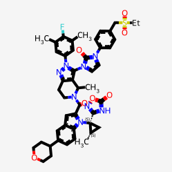 CCS(=O)(=O)Cc1ccc(-n2ccn(-c3c4c(nn3-c3cc(C)c(F)c(C)c3)CCN(C(=O)c3cc5cc(C6CCOCC6)ccc5n3[C@@]3(c5noc(=O)[nH]5)C[C@@H]3C)C4C)c2=O)cc1